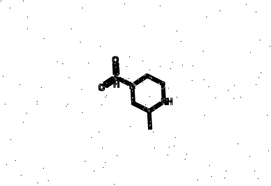 CC1CN([SH](=O)=O)CCN1